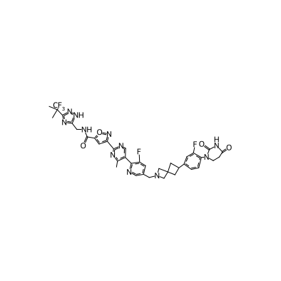 Cc1nc(-c2cc(C(=O)NCc3nc(C(C)(C)C(F)(F)F)n[nH]3)on2)ncc1-c1ncc(CN2CC3(CC(c4ccc(N5CCC(=O)NC5=O)c(F)c4)C3)C2)cc1F